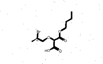 CCCCOC(=O)C(OC[C@@H](C)Br)C(=O)O